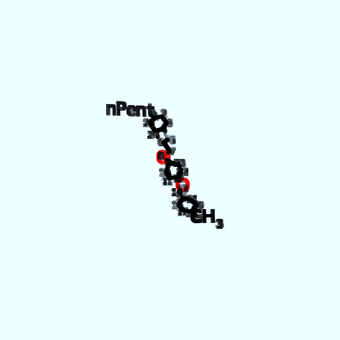 CCCCC[C@H]1CC[C@H](CCCOc2ccc(OC[C@H]3CC[C@H](C)CC3)cc2)CC1